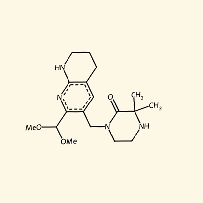 COC(OC)c1nc2c(cc1CN1CCNC(C)(C)C1=O)CCCN2